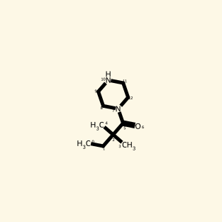 CCC(C)(C)C(=O)N1CCNCC1